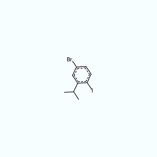 CC(C)c1cc(Br)ccc1I